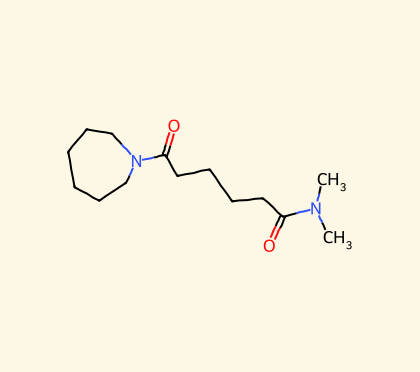 CN(C)C(=O)CCCCC(=O)N1CCCCCC1